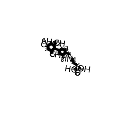 CCCCCCOc1cc(C)c(-c2ccc(CNCCCP(=O)(O)O)cc2)c(C)c1